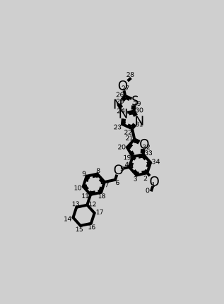 COc1cc(OCc2cccc(C3CCCCC3)c2)c2cc(-c3cn4nc(OC)sc4n3)oc2c1